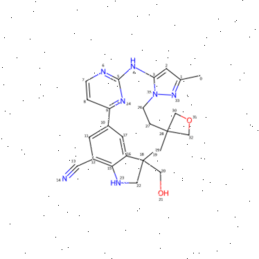 Cc1cc(Nc2nccc(-c3cc(C#N)c4c(c3)C(C)(CO)CN4)n2)n(CCC2(C)COC2)n1